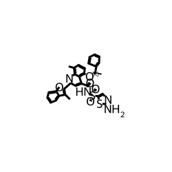 Cc1c(-c2cc(C(=O)NS(=O)(=O)c3cnc(N)s3)c3c(O[C@H](C)c4ccccc4)ccc(C)c3n2)oc2ccccc12